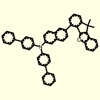 CC1(C)c2cccc(-c3ccc4cc(N(c5ccc(-c6ccccc6)cc5)c5ccc(-c6ccccc6)cc5)ccc4c3)c2-c2oc3ccccc3c21